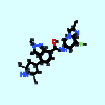 Cc1cn2cc(NC(=O)c3ccc(C4C[C@@H](C)N[C@@H](C)C4)c4cn(C)nc34)cc(F)c2n1